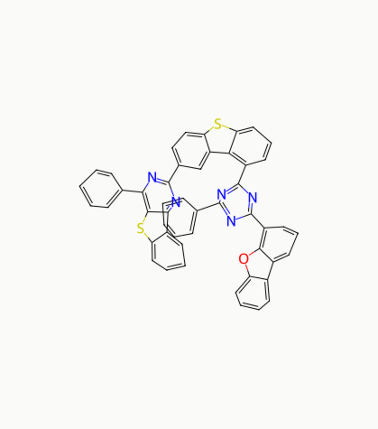 c1ccc(-c2nc(-c3cccc4c3oc3ccccc34)nc(-c3cccc4sc5ccc(-c6nc(-c7ccccc7)c7sc8ccccc8c7n6)cc5c34)n2)cc1